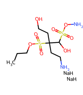 CCCOS(=O)(=O)C(CCN)(CCO)C(O)S(=O)(=O)ON.[NaH].[NaH]